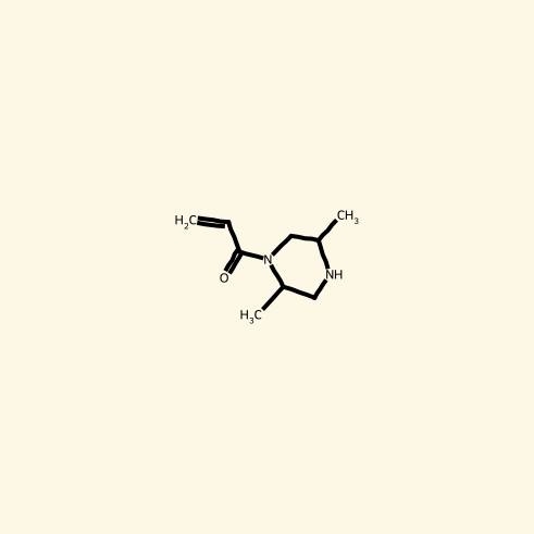 C=CC(=O)N1CC(C)NCC1C